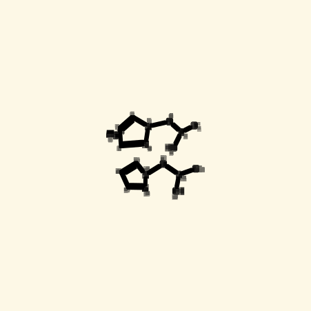 [Mg+2].[O-]B(O)On1cccn1.[O-]B(O)On1cccn1